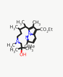 CCOC(=O)c1c(C)c(C(C)C(C)CCN(C)CC(C)(C)O)n2nc(OC)ccc12